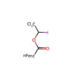 CCCCCC(=O)OC(I)C(Cl)(Cl)Cl